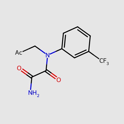 CC(=O)CN(C(=O)C(N)=O)c1cccc(C(F)(F)F)c1